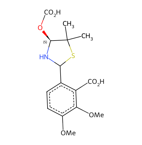 COc1ccc(C2N[C@@H](OC(=O)O)C(C)(C)S2)c(C(=O)O)c1OC